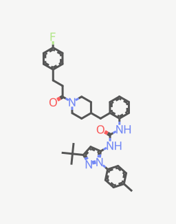 Cc1ccc(-n2nc(C(C)(C)C)cc2NC(=O)Nc2ccccc2CC2CCN(C(=O)CCc3ccc(F)cc3)CC2)cc1